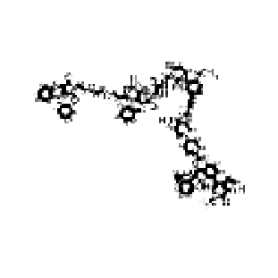 COc1ccc(C#CCNC2(C)CCN(C3CCN(c4nc([C@@](CO)(OC5CC5)c5ccccc5)c5cc(-c6cn(C)c(=O)c7[nH]ccc67)ccc5n4)CC3)CC2)cc1N1CCC(=O)N(CNC(=O)CNC(=O)[C@@H](Cc2ccccc2)C(NC(=O)CCOCCOCCN2C(=O)C(Sc3ccccc3)=C(Sc3ccccc3)C2=O)C(N)=O)C1=O